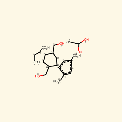 CCCC(O)O.O=C(O)CCC(=O)O.O=C(O)c1ccc(C(=O)O)cc1.OCC1CCC(CO)CC1